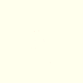 C/C(c1c(O)c(=O)c1=O)=c1/c2cccc3cccc(c32)n1Cc1ccccc1